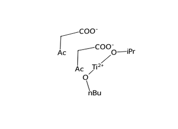 CC(=O)CC(=O)[O-].CC(=O)CC(=O)[O-].CCCC[O][Ti+2][O]C(C)C